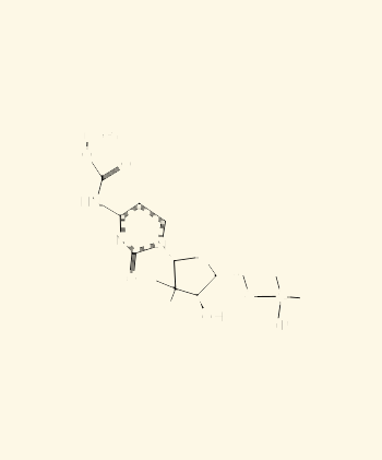 CCCCCOC(=O)Nc1ccn([C@@H]2O[C@H](CO[Si](C)(C)C(C)(C)C)[C@@H](O)C2(F)F)c(=O)n1